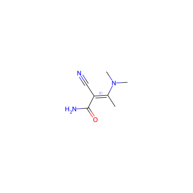 C/C(=C(/C#N)C(N)=O)N(C)C